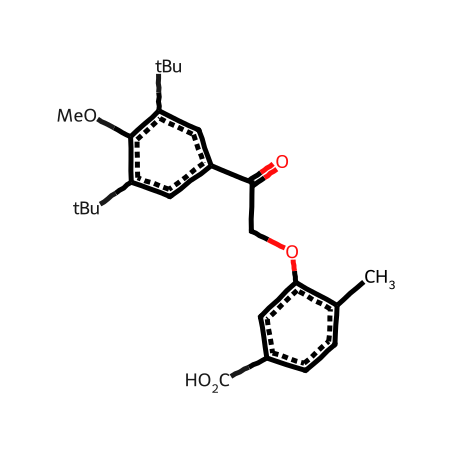 COc1c(C(C)(C)C)cc(C(=O)COc2cc(C(=O)O)ccc2C)cc1C(C)(C)C